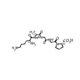 C[C@H](NC(=O)[C@@H](N)CCCCN)C(=O)NCC(=O)NCC(=O)N1CCC[C@H]1C(=O)O